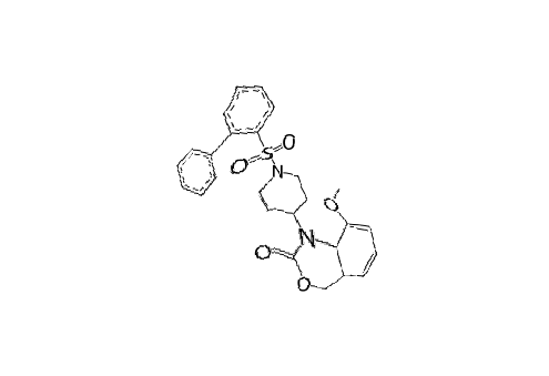 COC1=CC=CC2COC(=O)N(C3CCN(S(=O)(=O)c4ccccc4-c4ccccc4)CC3)C12